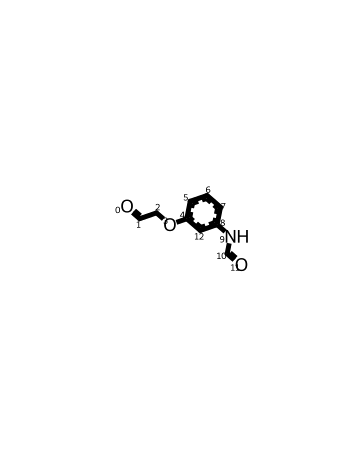 O=CCOc1cccc(NC=O)c1